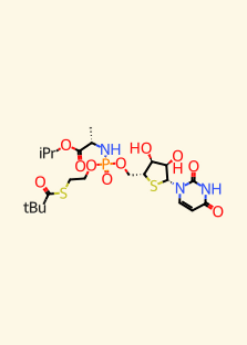 CC(C)OC(=O)[C@H](C)N[P@@](=O)(OCCSC(=O)C(C)(C)C)OC[C@H]1S[C@@H](n2ccc(=O)[nH]c2=O)[C@H](O)[C@@H]1O